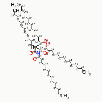 CCCCCCCCCCCCCC(=O)N(C(=O)CCCCCCCCCCCCC)C(=O)C(C)(C(=O)CCCCCCCCCCCCC)C(=O)CCCCCCCCCCCCC